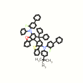 CC(C)(C)c1ccc(N(c2ccc(-c3ccccc3)cc2F)c2cc3c(c4sc5ccccc5c24)-c2c(cc(N(c4ccccc4)c4ccc(-c5ccccc5)cc4F)c4oc5ccccc5c24)C3(c2ccccc2)c2ccccc2)cc1